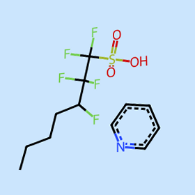 CCCCC(F)C(F)(F)C(F)(F)S(=O)(=O)O.c1ccncc1